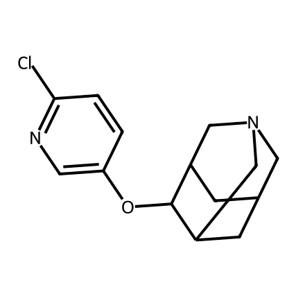 Clc1ccc(OC2C3CC4CC2CN(C4)C3)cn1